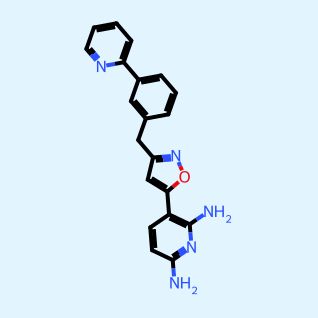 Nc1ccc(-c2cc(Cc3cccc(-c4ccccn4)c3)no2)c(N)n1